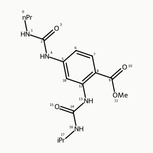 CCCNC(=O)Nc1ccc(C(=O)OC)c(NC(=O)NC(C)C)c1